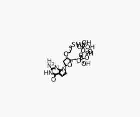 CSSCO[C@H]1C[C@H](n2ccc3c(=O)[nH]c(N)nc32)O[C@@H]1COP(=O)(O)O[PH](=O)OP(=O)(O)O